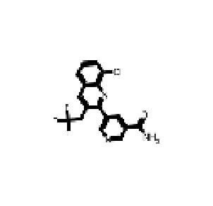 NC(=O)c1cncc(-c2nc3c(Cl)cccc3cc2[CH]C(F)(F)F)c1